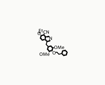 CCOc1ccc2c(Cc3cc(OC)c(OCCc4ccccc4)c(OC)c3)cncc2c1C#N